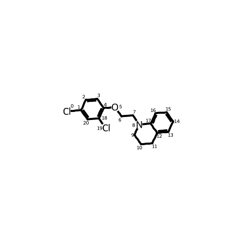 Clc1ccc(OCCN2CCCc3ccccc32)c(Cl)c1